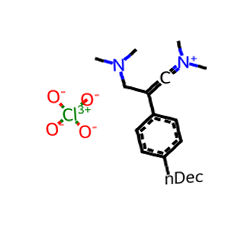 CCCCCCCCCCc1ccc(C(=C=[N+](C)C)CN(C)C)cc1.[O-][Cl+3]([O-])([O-])[O-]